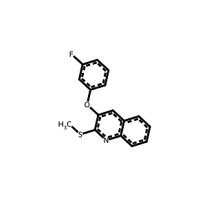 CSc1nc2ccccc2cc1Oc1cccc(F)c1